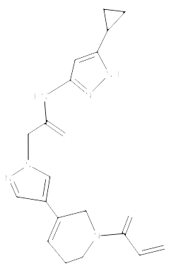 C=CC(=O)N1CCC=C(c2cnn(CC(=O)Nc3cc(C4CC4)[nH]n3)c2)C1